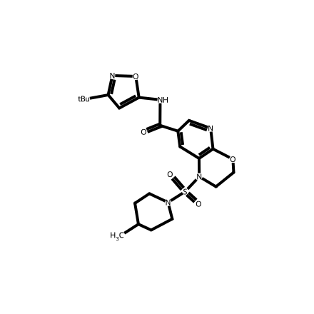 CC1CCN(S(=O)(=O)N2CCOc3ncc(C(=O)Nc4cc(C(C)(C)C)no4)cc32)CC1